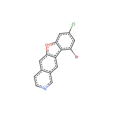 Clc1cc(Br)c2c(c1)oc1cc3ccncc3cc12